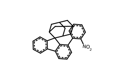 O=[N+]([O-])c1ccccc1-c1cccc2c1C1(c3ccccc3-2)C2CC3CC(C2)CC1C3